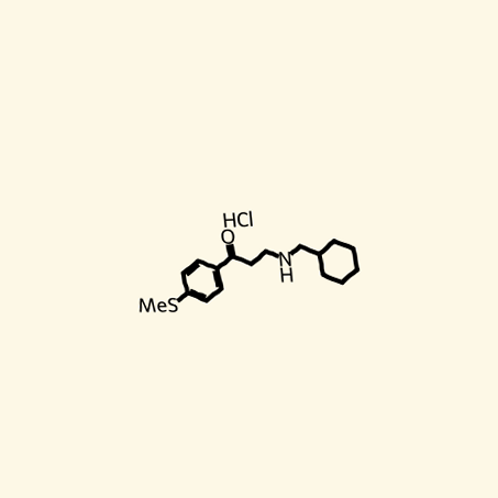 CSc1ccc(C(=O)CCNCC2CCCCC2)cc1.Cl